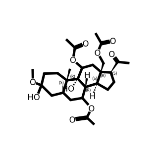 COC1(O)CC[C@@]2(C)C(CC(OC(C)=O)[C@H]3[C@@H]4CC[C@H](C(C)=O)[C@@]4(COC(C)=O)CC(OC(C)=O)[C@@]32O)C1